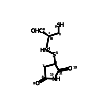 O=C[C@@H](CS)NSC1CC(=O)NC1=O